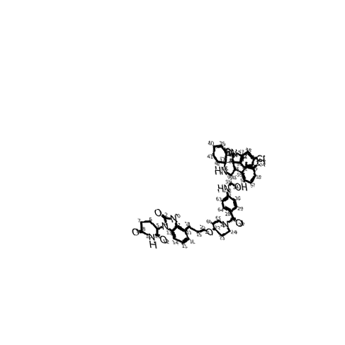 Cn1c(=O)n(C2CCC(=O)NC2=O)c2cccc(CCCOC3CCN(C(=O)c4ccc(NC(O)[C@@H]5NC6(CCCCC6)[C@@]6(C(=O)Nc7cc(Cl)ccc76)[C@H]5c5cccc(Cl)c5F)cc4)CC3)c21